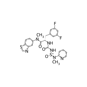 CN(C(=O)[C@H](Cc1cc(F)cc(F)c1)NC(=O)N[S+]([O-])N(C)c1ccccn1)c1ccc2scnc2c1